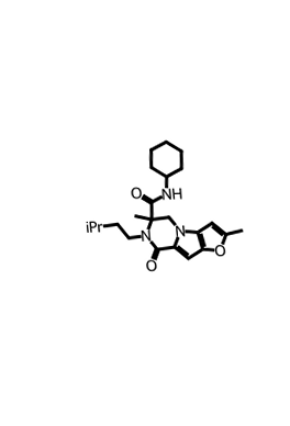 Cc1cc2c(cc3n2CC(C)(C(=O)NC2CCCCC2)N(CCC(C)C)C3=O)o1